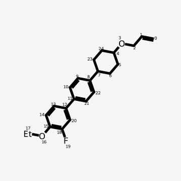 C=CCOC1CCC(c2ccc(-c3ccc(OCC)c(F)c3)cc2)CC1